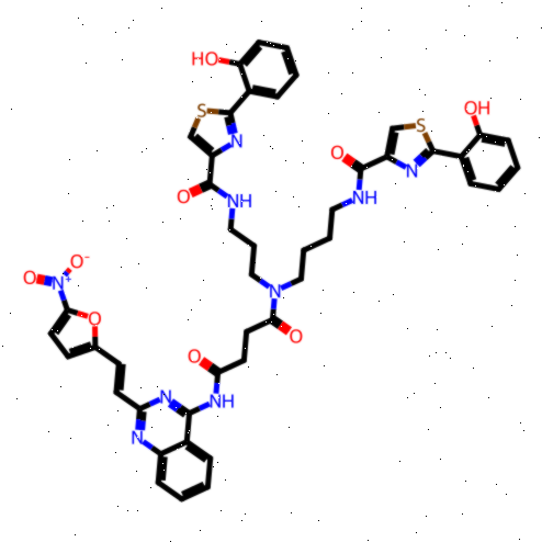 O=C(CCC(=O)N(CCCCNC(=O)c1csc(-c2ccccc2O)n1)CCCNC(=O)c1csc(-c2ccccc2O)n1)Nc1nc(/C=C/c2ccc([N+](=O)[O-])o2)nc2ccccc12